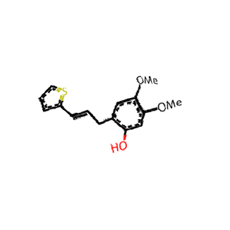 COc1cc(O)c(C/C=C/c2cccs2)cc1OC